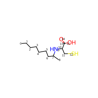 CCCCCCCC(C)NC(CS)C(=O)O